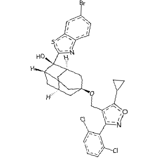 O[C@@]1(c2nc3ccc(Br)cc3s2)[C@@H]2C[C@@H]3C[C@H]1C[C@@](OCc1c(-c4c(Cl)cccc4Cl)noc1C1CC1)(C3)C2